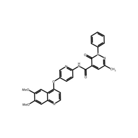 COc1cc2nccc(Oc3ccc(NC(=O)c4cc(C)nn(-c5ccccc5)c4=O)nc3)c2cc1OC